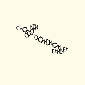 CCN1CCN(CC)C1=Nc1ccc(N2CCN(c3ccc(OC[C@@H]4CO[C@@](Cn5ccnc5)(c5ccc(Cl)cc5Cl)O4)cc3)CC2)cc1